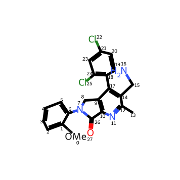 COc1ccccc1N1Cc2c(nc(C)c(CN)c2-c2ccc(Cl)cc2Cl)C1=O